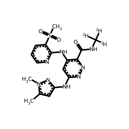 [2H]C([2H])([2H])NC(=O)c1nnc(Nc2cc(C)n(C)n2)cc1Nc1ncccc1S(C)(=O)=O